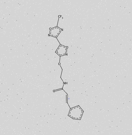 O=C(/C=C/c1ccccc1)NCCOc1cc(-c2noc(C(F)(F)F)n2)on1